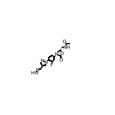 CC(=O)NC[C@H]1CN(c2ccc(-n3cc(C=NO)cn3)c(F)c2)C(=O)O1